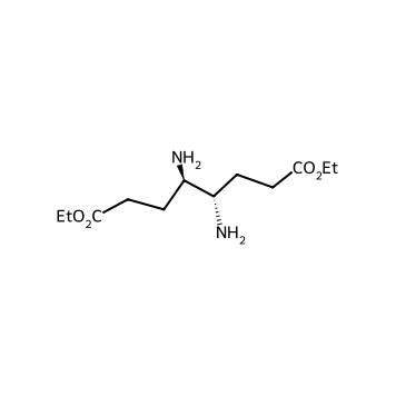 CCOC(=O)CC[C@@H](N)[C@@H](N)CCC(=O)OCC